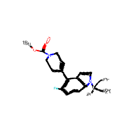 CC(C)[Si](C(C)C)(C(C)C)n1ccc2c(C3=CCN(C(=O)OC(C)(C)C)CC3)c(F)ccc21